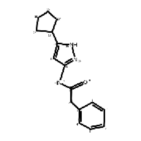 O=C(Cc1ccccc1)Nc1cc(C2CCCC2)[nH]n1